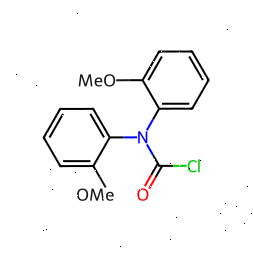 COc1ccccc1N(C(=O)Cl)c1ccccc1OC